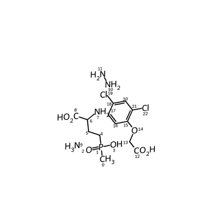 CP(=O)(O)CCC(N)C(=O)O.N.NN.O=C(O)COc1ccc(Cl)cc1Cl